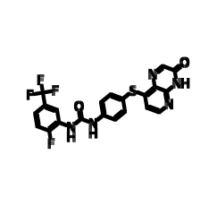 O=C(Nc1ccc(Sc2ccnc3[nH]c(=O)cnc23)cc1)Nc1cc(C(F)(F)F)ccc1F